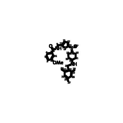 COc1cccc(C(=O)NCc2ccc([S+]([O-])N3CCC(NCc4c(C)cc(C)cc4C)CC3)s2)c1